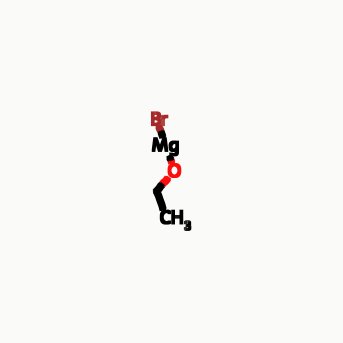 CC[O][Mg][Br]